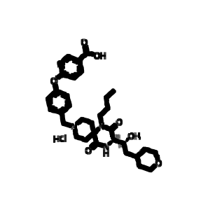 CCCCN1C(=O)[C@@H]([C@H](O)CC2CCOCC2)NC(=O)C12CCN(Cc1ccc(Oc3ccc(C(=O)O)cc3)cc1)CC2.Cl